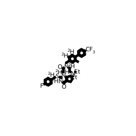 [2H]c1c([2H])c(-c2ccc(C(F)(F)F)cc2)c(C)c([2H])c1CN(CCN(CC)CC)C(=O)C([2H])([2H])n1c(SC([2H])([2H])c2ccc(F)cc2)nc(=O)c2c1CCC2